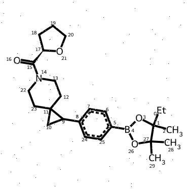 CCC1(C)OB(c2ccc(C3CC34CCN(C(=O)[C@H]3CCCO3)CC4)cc2)OC1(C)C